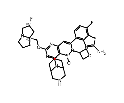 Nc1nc2c(C3=Cc4nc(OC[C@@]56CCCN5C[C@H](F)C6)nc(N5C6CNCC5COC6)c4[S+]([O-])N3C3COC3)ccc(F)c2s1